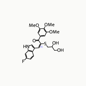 COc1cc(C(=O)/C(=C\c2c[nH]c3cc(F)ccc23)SCC(O)CO)cc(OC)c1OC